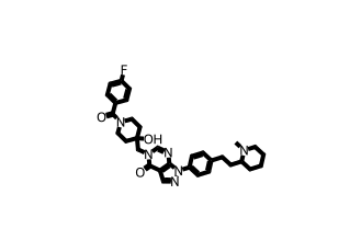 CN1CCCCC1CCc1ccc(-n2ncc3c(=O)n(CC4(O)CCN(C(=O)c5ccc(F)cc5)CC4)cnc32)cc1